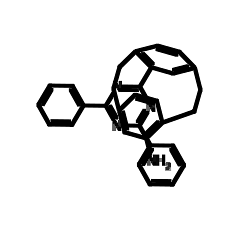 Nc1cc2ccc1CCc1ccc(c(-c3nc(-c4ccccc4)nc(-c4ccccc4)n3)c1)CC2